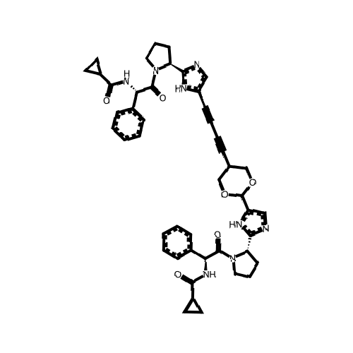 O=C(N[C@H](C(=O)N1CCC[C@H]1c1ncc(C#CC#CC2COC(c3cnc([C@@H]4CCCN4C(=O)[C@@H](NC(=O)C4CC4)c4ccccc4)[nH]3)OC2)[nH]1)c1ccccc1)C1CC1